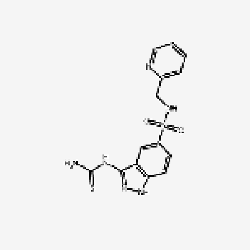 NC(=S)Nc1n[nH]c2ccc(S(=O)(=O)NCc3ccccn3)cc12